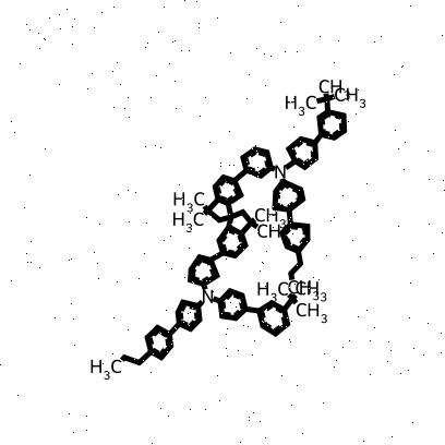 CCCc1ccc(-c2ccc(N(c3ccc(-c4cccc(C(C)(C)C)c4)cc3)c3cccc(-c4ccc5c(c4)C4(CC5(C)C)CC(C)(C)c5ccc(-c6cccc(N(c7ccc(-c8ccc(CCC)cc8)cc7)c7ccc(-c8cccc(C(C)(C)C)c8)cc7)c6)cc54)c3)cc2)cc1